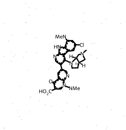 CNc1cc(Cl)cc2c1[nH]c1ncc(-c3cnc4c(c3)c(=O)c(C(=O)O)cn4NC)c(N3CC[C@H]4CN(C)C[C@H]43)c12